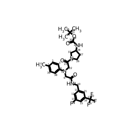 Cc1ccc(N(CC(=O)NCc2cc(F)cc(C(F)(F)F)c2)CC(=O)N2CCC(NC(=O)OC(C)(C)C)C2)cc1